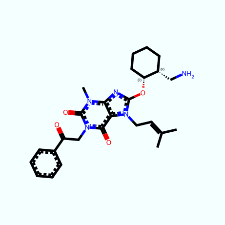 CC(C)=CCn1c(O[C@@H]2CCCC[C@@H]2CN)nc2c1c(=O)n(CC(=O)c1ccccc1)c(=O)n2C